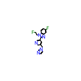 FCCn1c(-c2cncc(Cn3ccnc3)c2)nc2cc(F)ccc21